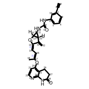 C#Cc1cccc(NC(=O)N[C@@H]2[C@H]3O/C(=C/C=C(\C)Oc4ccnc5c4CCC(=O)N5)C(=C)[C@@H]23)c1